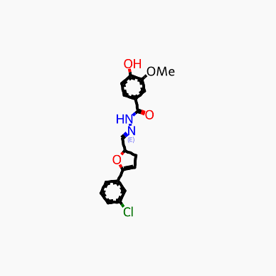 COc1cc(C(=O)N/N=C/C2CC=C(c3cccc(Cl)c3)O2)ccc1O